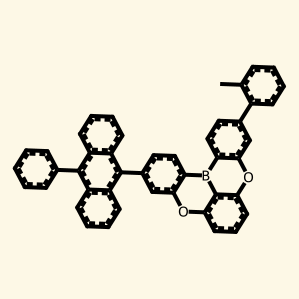 Cc1ccccc1-c1ccc2c(c1)Oc1cccc3c1B2c1ccc(-c2c4ccccc4c(-c4ccccc4)c4ccccc24)cc1O3